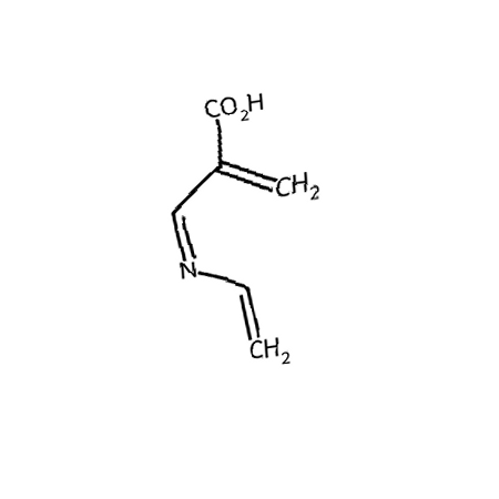 C=C/N=C\C(=C)C(=O)O